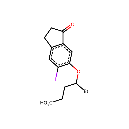 CCC(CCC(=O)O)Oc1cc2c(cc1I)CCC2=O